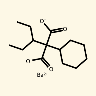 CCC(CC)C(C(=O)[O-])(C(=O)[O-])C1CCCCC1.[Ba+2]